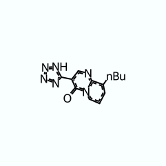 CCCCc1cccn2c(=O)c(-c3nnn[nH]3)cnc12